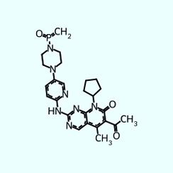 C=P(=O)N1CCN(c2ccc(Nc3ncc4c(C)c(C(C)=O)c(=O)n(C5CCCC5)c4n3)nc2)CC1